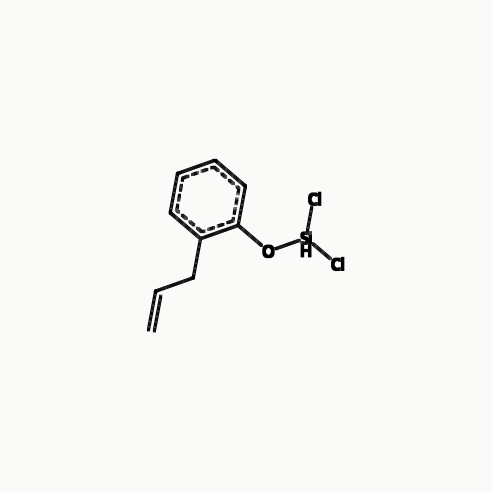 C=CCc1ccccc1O[SiH](Cl)Cl